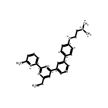 Cc1cccc(-c2nc(CN)cc(-c3cncc(-c4ccc(OCCN(C)C)cc4)c3)n2)n1